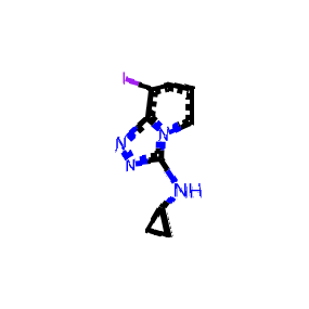 Ic1cccn2c(NC3CC3)nnc12